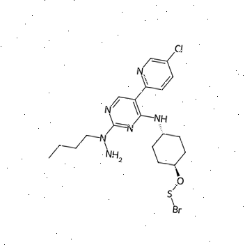 CCCCN(N)c1ncc(-c2ccc(Cl)cn2)c(N[C@H]2CC[C@H](OSBr)CC2)n1